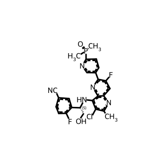 Cc1nc2cc(F)c(-c3ccc(P(C)(C)=O)nc3)nc2c(N[C@H](CO)c2cc(C#N)ccc2F)c1Cl